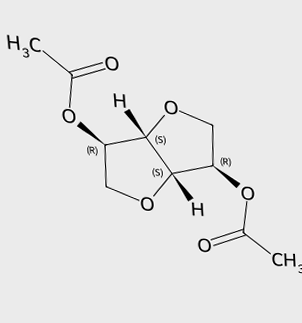 CC(=O)O[C@@H]1CO[C@@H]2[C@H]1OC[C@H]2OC(C)=O